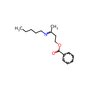 CCCCCN=C(C)CCOC(=O)c1ccccc1